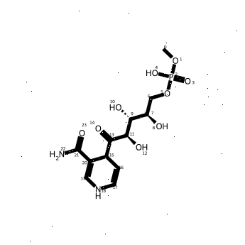 COP(=O)(O)OC[C@@H](O)[C@@H](O)[C@@H](O)C(=O)C1C=CNC=C1C(N)=O